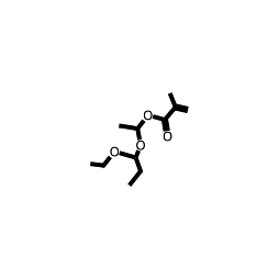 C=C(C)C(=O)OC(C)OC(CC)OCC